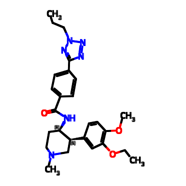 CCCn1nnc(-c2ccc(C(=O)N[C@@H]3CCN(C)C[C@@H]3c3ccc(OC)c(OCC)c3)cc2)n1